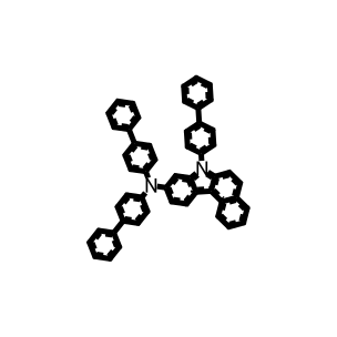 c1ccc(-c2ccc(N(c3ccc(-c4ccccc4)cc3)c3ccc4c5c6ccccc6ccc5n(-c5ccc(-c6ccccc6)cc5)c4c3)cc2)cc1